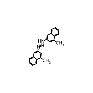 Cc1cc(/N=N/Nc2cc(C)c3ccccc3c2)cc2ccccc12